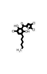 CCCCCCc1cc(Cl)c(O)c(C(=O)c2cc(Cl)c(Cl)s2)c1O